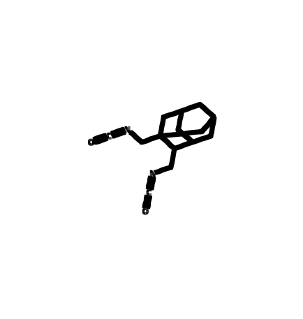 O=C=NCC1C2CC3CC(C2)CC1(CN=C=O)C3